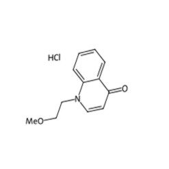 COCCn1ccc(=O)c2ccccc21.Cl